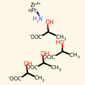 CC(O)C(=O)[O-].CC(O)C(=O)[O-].CC(O)C(=O)[O-].CC(O)C(=O)[O-].CCCN.[Zr+4]